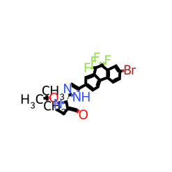 CC(C)(C)ON1CCC(=C=O)[C@H]1c1ncc(-c2ccc3c(c2)C(F)(F)C(F)(F)c2cc(Br)ccc2-3)[nH]1